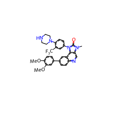 COc1ccc(-c2ccc3ncc4c(c3c2)n(-c2ccc(N3CCNCC3)c(C(F)(F)F)c2)c(=O)n4C)cc1OC